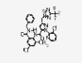 Cc1cc(Cl)cc(C(=O)NCc2ccccc2)c1NC(=O)c1cc(Cn2nnc(C(F)(F)F)n2)nn1-c1ncccc1Cl